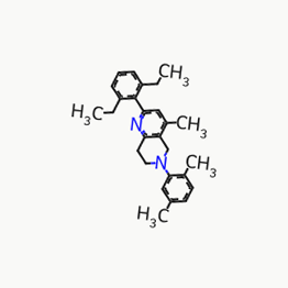 CCc1cccc(CC)c1-c1cc(C)c2c(n1)CCN(c1cc(C)ccc1C)C2